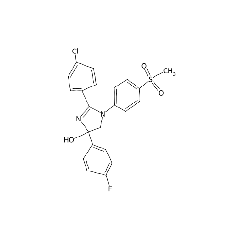 CS(=O)(=O)c1ccc(N2CC(O)(c3ccc(F)cc3)N=C2c2ccc(Cl)cc2)cc1